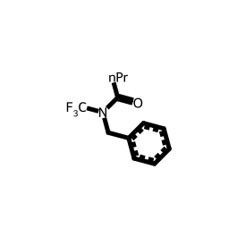 CCCC(=O)N(Cc1ccccc1)C(F)(F)F